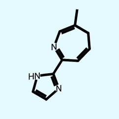 CC1=CN=C(c2ncc[nH]2)C=CC1